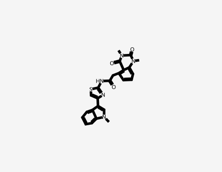 Cn1c(=O)c2c(CC(=O)Nc3nc(-c4cn(C)c5ccccc45)cs3)cccc2n(C)c1=O